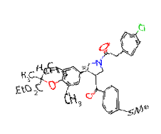 CCOC(=O)C(C)(C)Oc1c(C)cc([C@H]2CN(C(=O)Cc3ccc(Cl)cc3)CC2C(=O)c2ccc(SC)cc2)cc1C